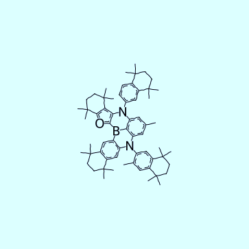 Cc1cc2c3c(c1)N(c1ccc4c(c1)C(C)(C)CCC4(C)C)c1c(oc4c1C(C)(C)CCC4(C)C)B3c1cc3c(cc1N2c1cc2c(cc1C)C(C)(C)CCC2(C)C)C(C)(C)CCC3(C)C